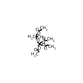 [CH2]C([CH2])(COCC(COC(=O)C=C)(COC(=O)C=C)COC(=O)C=C)COC(=O)C=C